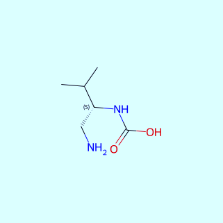 CC(C)[C@@H](CN)NC(=O)O